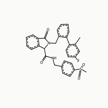 Cc1cc(F)ccc1-c1ccccc1CN1C(=O)c2ccccc2C1C(=O)NCc1ccc(S(C)(=O)=O)cc1